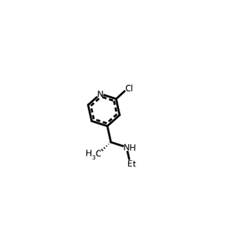 CCN[C@H](C)c1ccnc(Cl)c1